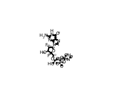 Nc1nc2c(ncn2[C@@H]2O[C@](F)(COP(=O)(O)OP(=O)(O)OP(=O)(O)N=O)[C@@H](O)[C@H]2F)c(=O)[nH]1